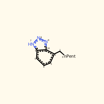 CCCCCCc1cccc2[nH]nnc12